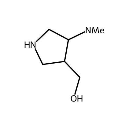 CNC1CNCC1CO